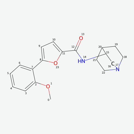 COc1ccccc1-c1ccc(C(=O)NC2CN3CCC2CC3)o1